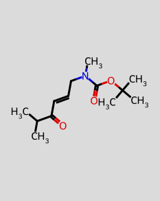 CC(C)C(=O)/C=C/CN(C)C(=O)OC(C)(C)C